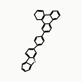 C1=Cc2c(c3cc(-c4ccc(-c5ccc6c(c5)sc5ccccc56)cc4)ccc3c3ccccc23)CC1